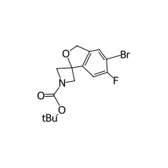 CC(C)(C)OC(=O)N1CC2(C1)OCc1cc(Br)c(F)cc12